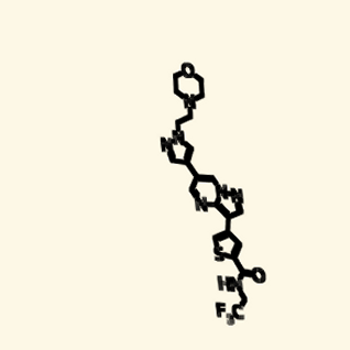 O=C(NCC(F)(F)F)c1cc(-c2cnn3cc(-c4cnn(CCN5CCOCC5)c4)cnc23)cs1